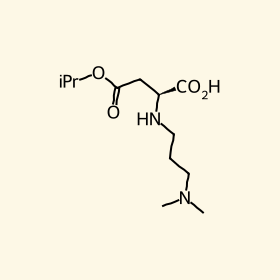 CC(C)OC(=O)C[C@H](NCCCN(C)C)C(=O)O